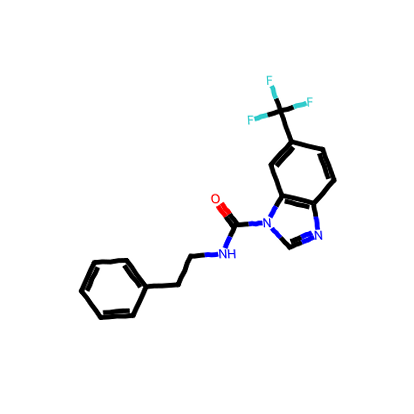 O=C(NCCc1ccccc1)n1cnc2ccc(C(F)(F)F)cc21